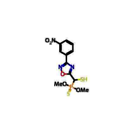 COP(=S)(OC)C(S)c1nc(-c2cccc([N+](=O)[O-])c2)no1